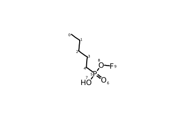 CCCCCP(=O)(O)OF